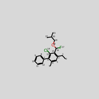 CCc1cc(C)c(-c2ccccc2)c(Cl)c1[C](F)OCC(C)C